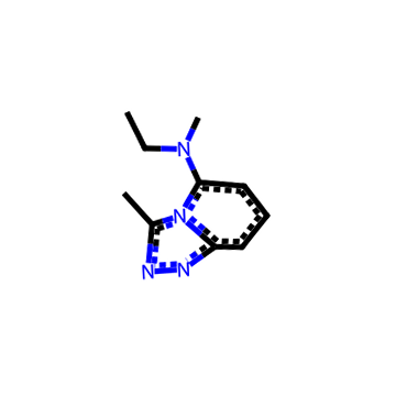 CCN(C)c1cccc2nnc(C)n12